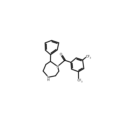 O=C(c1cc(C(F)(F)F)cc(C(F)(F)F)c1)N1CCNCCC1c1ccccc1